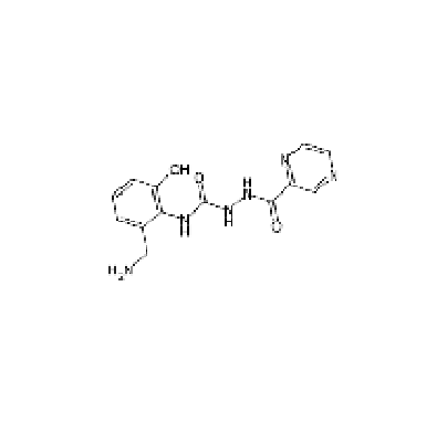 NCc1cccc(O)c1NC(=O)NNC(=O)c1cnccn1